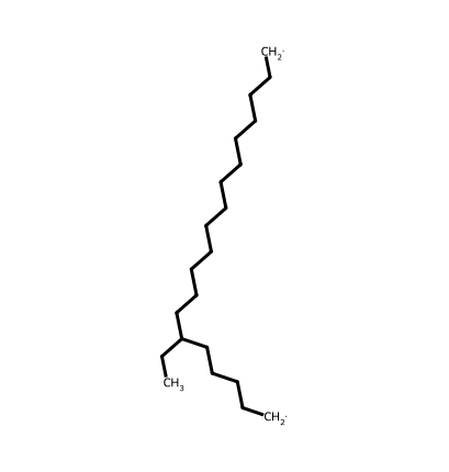 [CH2]CCCCCCCCCCCCC(CC)CCCC[CH2]